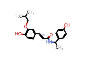 CC(C)COc1cc(/C=C/C(=O)NC(C)c2ccc(O)cc2)ccc1O